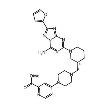 COC(=O)c1cc(N2CCN(C[C@@H]3CCCN(c4nc(N)n5nc(-c6ccco6)nc5n4)C3)CC2)ccn1